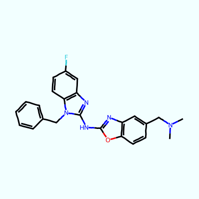 CN(C)Cc1ccc2oc(Nc3nc4cc(F)ccc4n3Cc3ccccc3)nc2c1